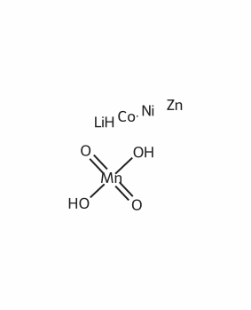 [Co].[LiH].[Ni].[O]=[Mn](=[O])([OH])[OH].[Zn]